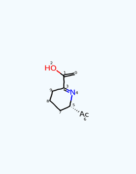 C=C(O)C1=N[C@H](C(C)=O)CCC1